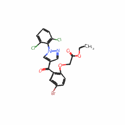 CCOC(=O)COc1ccc(Br)cc1C(=O)c1cnn(-c2c(Cl)cccc2Cl)c1